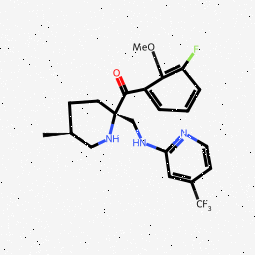 COc1c(F)cccc1C(=O)[C@@]1(CNc2cc(C(F)(F)F)ccn2)CC[C@H](C)CN1